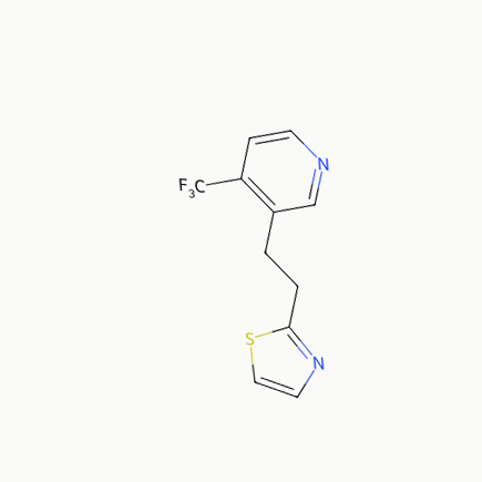 FC(F)(F)c1ccncc1CCc1nccs1